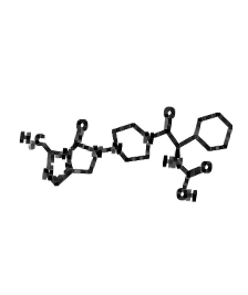 Cc1ncc2n1C(=O)N(N1CCN(C(=O)[C@H](NC(=O)O)C3CCCCC3)CC1)C2